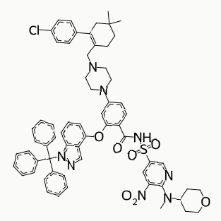 CN(c1ncc(S(=O)(=O)NC(=O)c2ccc(N3CCN(CC4=C(c5ccc(Cl)cc5)CC(C)(C)CC4)CC3)cc2Oc2cccc3c2cnn3C(c2ccccc2)(c2ccccc2)c2ccccc2)cc1[N+](=O)[O-])C1CCOCC1